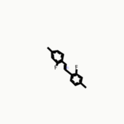 Cc1ccc(/C=C/c2ccc(C)cc2F)c(F)c1